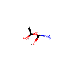 C[C](O)OC(N)=O